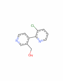 OCc1[c]nccc1-c1ncccc1Cl